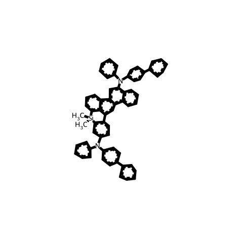 C[Si]1(C)c2cc(N(c3ccccc3)c3ccc(-c4ccccc4)cc3)ccc2-c2cc3c4ccccc4c(N(c4ccccc4)c4ccc(-c5ccccc5)cc4)cc3c3cccc1c23